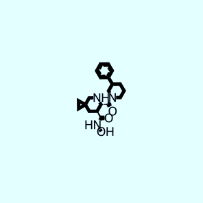 O=C(NO)[C@H]1CC2(CC2)CN[C@@H]1C(=O)N1CCCC(c2ccccc2)C1